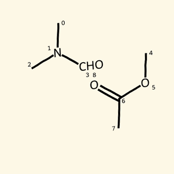 CN(C)C=O.COC(C)=O